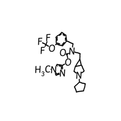 Cn1cnc(OC(=O)N(Cc2cccc(OC(F)(F)F)c2)CC2C3CN(C4CCCC4)CC23)c1